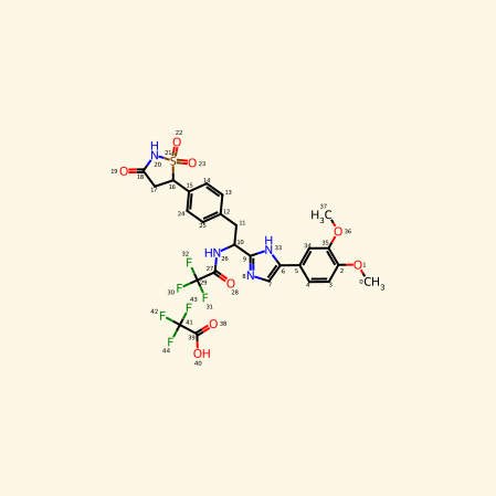 COc1ccc(-c2cnc(C(Cc3ccc(C4CC(=O)NS4(=O)=O)cc3)NC(=O)C(F)(F)F)[nH]2)cc1OC.O=C(O)C(F)(F)F